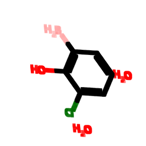 Bc1cccc(Cl)c1O.O.O